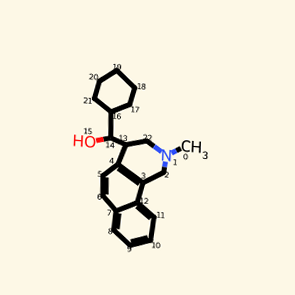 CN1Cc2c(ccc3ccccc23)C(C(O)C2CCCCC2)C1